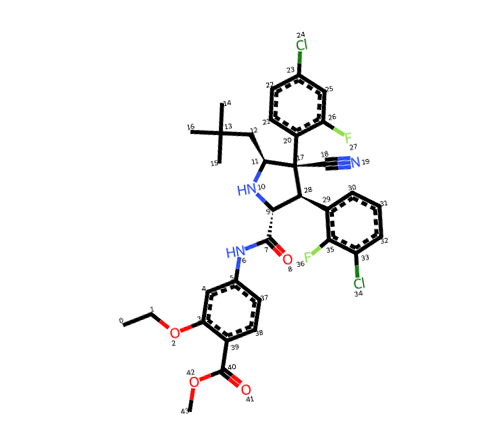 CCOc1cc(NC(=O)[C@@H]2N[C@@H](CC(C)(C)C)[C@](C#N)(c3ccc(Cl)cc3F)[C@H]2c2cccc(Cl)c2F)ccc1C(=O)OC